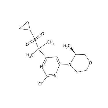 C[C@H]1COCCN1c1cc(C(C)(C)S(=O)(=O)C2CC2)nc(Cl)n1